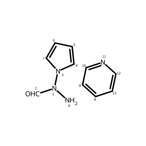 NN(C=O)n1cccc1.c1ccncc1